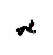 CC(C)c1ccccc1[C@@H]1CCCN1C1CC2(CCN(Cc3ccc(C(=O)O)c(Oc4cnc5[nH]ccc5c4)c3)CC2)C1